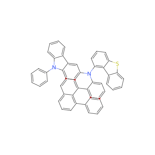 c1ccc(-c2cccc3cccc(-c4ccccc4N(c4ccc5c(c4)c4ccccc4n5-c4ccccc4)c4cccc5sc6ccccc6c45)c23)cc1